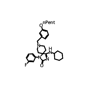 CCCCCOc1cccc(CN2CCC3(CC2)C(NC2CCCCC2)=NC(=O)N3c2cccc(F)c2)c1